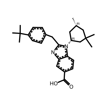 C[C@H]1C[C@@H](n2c(Cc3ccc(C(C)(C)C)cc3)nc3cc(C(=O)O)ccc32)CC(C)(C)C1